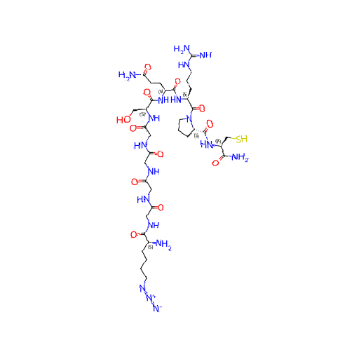 [N-]=[N+]=NCCCC[C@H](N)C(=O)NCC(=O)NCC(=O)NCC(=O)NCC(=O)N[C@@H](CO)C(=O)N[C@@H](CCC(N)=O)C(=O)N[C@@H](CCCNC(=N)N)C(=O)N1CCC[C@H]1C(=O)N[C@@H](CS)C(N)=O